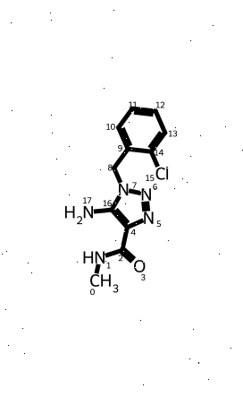 CNC(=O)c1nnn(Cc2ccccc2Cl)c1N